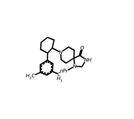 CCCN1CNC(=O)C12CCN(C1CCCCC1c1cc(C)cc(C)c1)CC2